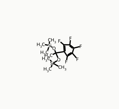 CC(O[Si](C)(C)C)(O[Si](C)(C)C)c1c(F)c(F)c(F)c(F)c1F